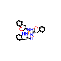 O=C[C@H](Cc1ccccc1)NP(N[C@H](C=O)Cc1ccccc1)N[C@H](C=O)Cc1ccccc1